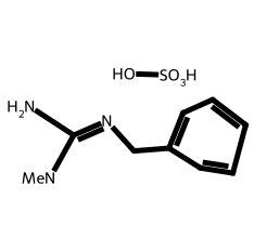 CN/C(N)=N\Cc1ccccc1.O=S(=O)(O)O